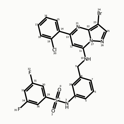 O=S(=O)(Nc1cccc(CNc2cc(-c3ccccc3Cl)nc3c(Br)cnn23)c1)c1cc(F)cc(F)c1